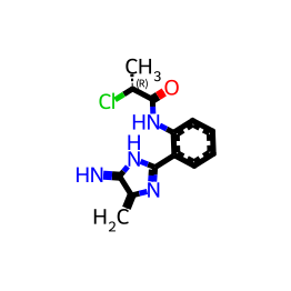 C=C1N=C(c2ccccc2NC(=O)[C@@H](C)Cl)NC1=N